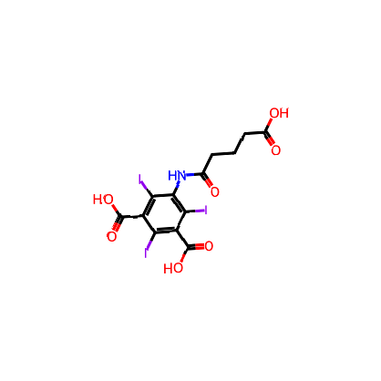 O=C(O)CCCC(=O)Nc1c(I)c(C(=O)O)c(I)c(C(=O)O)c1I